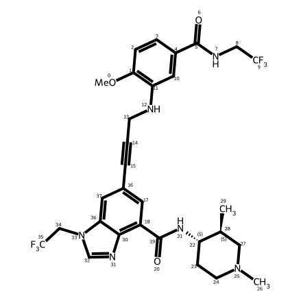 COc1ccc(C(=O)NCC(F)(F)F)cc1NCC#Cc1cc(C(=O)N[C@H]2CCN(C)C[C@@H]2C)c2ncn(CC(F)(F)F)c2c1